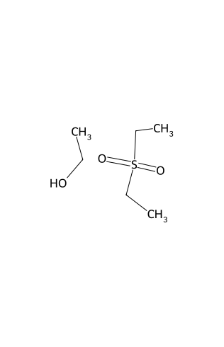 CCO.CCS(=O)(=O)CC